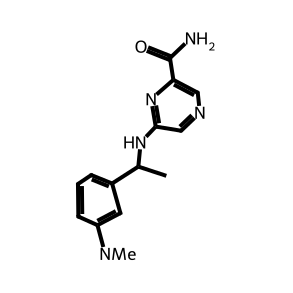 CNc1cccc(C(C)Nc2cncc(C(N)=O)n2)c1